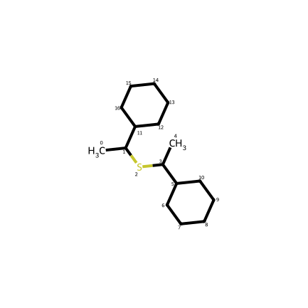 CC(SC(C)C1CCCCC1)C1CCCCC1